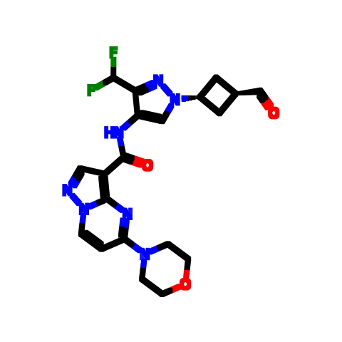 O=C[C@H]1C[C@H](n2cc(NC(=O)c3cnn4ccc(N5CCOCC5)nc34)c(C(F)F)n2)C1